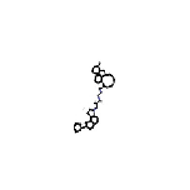 C=Cc1ccccc1C(=C)c1ccccccc(/C(C)=C/C=C(\CC)C(=C)/C=C2\C(=C)C(C)(C)c3c2ccc2ccc4c5ccccc5sc4c32)c2ccccc12